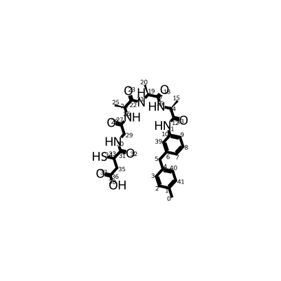 Cc1ccc(Cc2cccc(NC(=O)[C@H](C)NC(=O)[C@H](C)NC(=O)[C@H](C)NC(=O)CNC(=O)C(S)CC(=O)O)c2)cc1